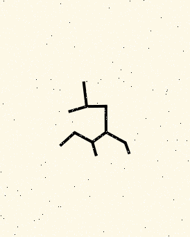 [CH2]C(C)CC(CC)C(C)CC